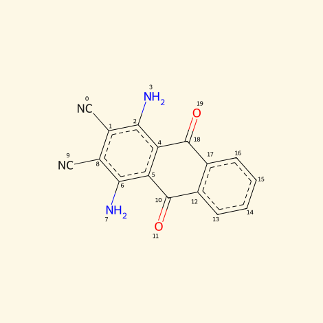 N#Cc1c(N)c2c(c(N)c1C#N)C(=O)c1ccccc1C2=O